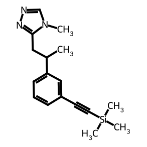 CC(Cc1nncn1C)c1cccc(C#C[Si](C)(C)C)c1